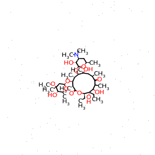 CC[C@H]1OC(=O)[C@H](C)[C@@H](OC2C[C@@](C)(OC)[C@@H](O)[C@H](C)O2)[C@H](C)[C@@H](OC2O[C@H](C)C[C@H](N(C)C)[C@H]2O)[C@](C)(O)C[C@@H](C)C(=O)C(C)[C@@H](O)[C@@]1(O)CC